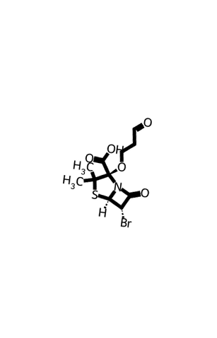 CC1(C)S[C@@H]2[C@@H](Br)C(=O)N2[C@@]1(OCCC=O)C(=O)O